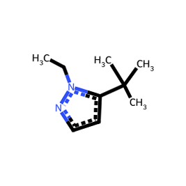 CCn1nccc1C(C)(C)C